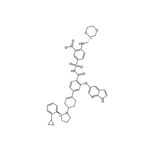 O=C(NS(=O)(=O)c1ccc(NC[C@H]2COCCO2)c([N+](=O)[O-])c1)c1ccc(C2=CCC(N3CCC[C@H]3c3ccccc3C3CC3)CC2)cc1Oc1cnc2[nH]ccc2c1